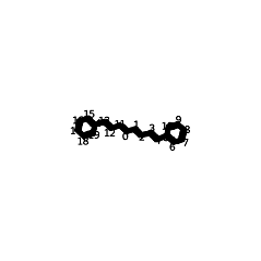 C(C=CC=Cc1ccccc1)=CC=Cc1ccccc1